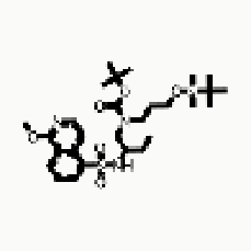 CCC(CN(CCCO[Si](C)(C)C(C)(C)C)C(=O)OC(C)(C)C)NS(=O)(=O)c1cccc2c(OC)nccc12